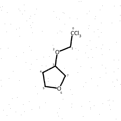 ClC(Cl)(Cl)COC1CCOC1